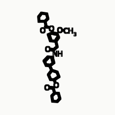 COc1cc(CC(=O)Nc2cccc(C3CCC(OC(=O)C4CCCCC4)CC3)c2)ccc1OC(=O)C1CCCCC1